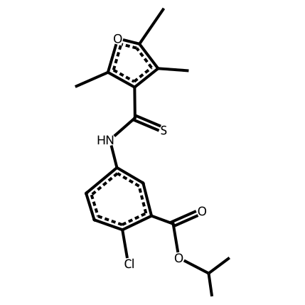 Cc1oc(C)c(C(=S)Nc2ccc(Cl)c(C(=O)OC(C)C)c2)c1C